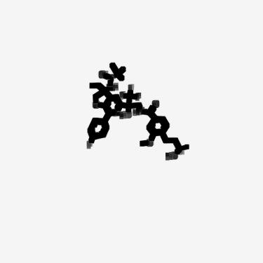 CCC1(N[S+]([O-])C(C)(C)C)COc2c1cc(C(O)(CNC(=O)c1ccc(CC[C@@H](C)O)c(OC)c1)C(F)(F)F)nc2-c1ccc(F)cc1